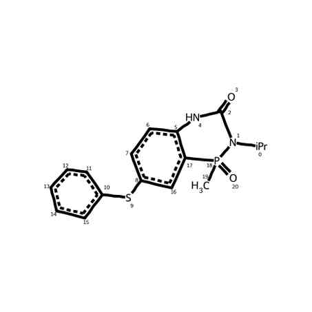 CC(C)N1C(=O)Nc2ccc(Sc3ccccc3)cc2P1(C)=O